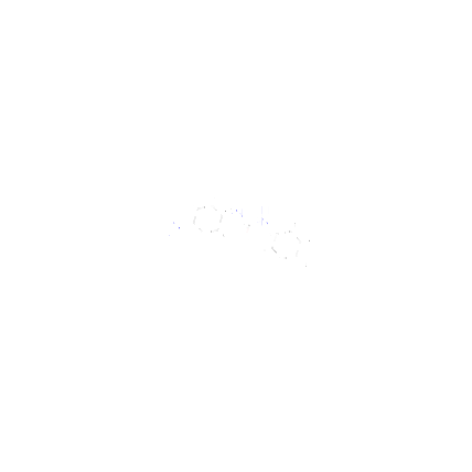 Nc1ccc(NC(=O)Nc2ccc(Cl)cc2)cc1